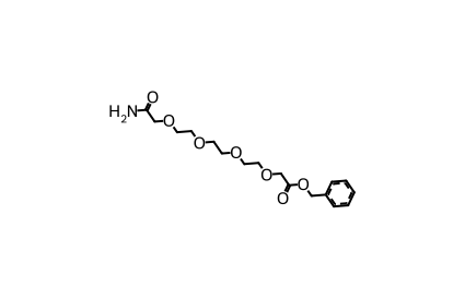 NC(=O)COCCOCCOCCOCC(=O)OCc1ccccc1